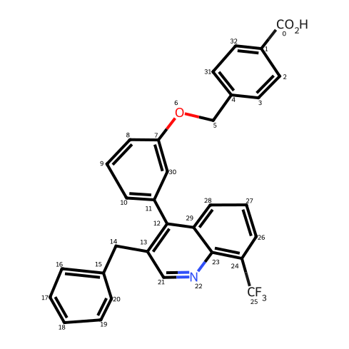 O=C(O)c1ccc(COc2cccc(-c3c(Cc4ccccc4)cnc4c(C(F)(F)F)cccc34)c2)cc1